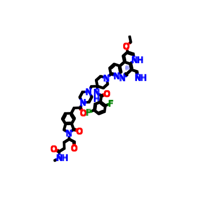 CCOC1=CN/C(=C(/C#N)C=N)C(c2ccc(N3CCC(CN4CCN(C(=O)Cc5ccc6c(c5)C(=O)N(C(C=O)CCC(=O)NC)C6)CC4)(NC(=O)c4cc(F)ccc4F)CC3)nc2)=C1